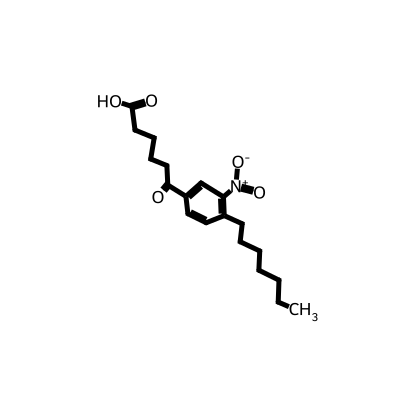 CCCCCCCc1ccc(C(=O)CCCCC(=O)O)cc1[N+](=O)[O-]